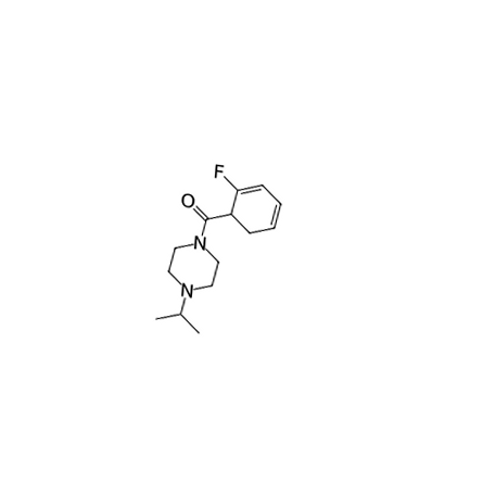 CC(C)N1CCN(C(=O)C2CC=CC=C2F)CC1